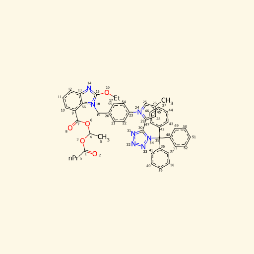 CCCC(=O)OC(C)OC(=O)c1cccc2nc(OCC)n(Cc3ccc(-n4cc(C)cc4-c4nnnn4C(c4ccccc4)(c4ccccc4)c4ccccc4)cc3)c12